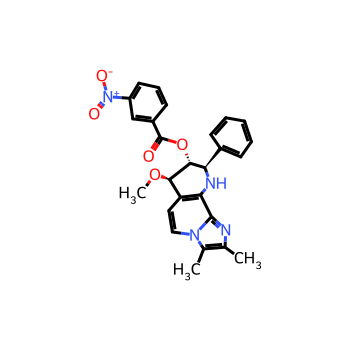 CO[C@@H]1c2ccn3c(C)c(C)nc3c2N[C@H](c2ccccc2)[C@H]1OC(=O)c1cccc([N+](=O)[O-])c1